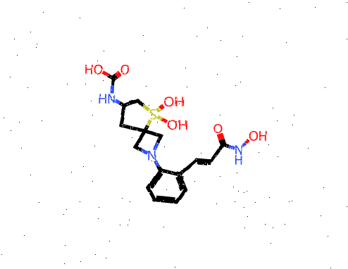 O=C(O)NC1CC2(CN(c3ccccc3C=CC(=O)NO)C2)S(O)(O)C1